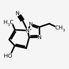 CCC1=N[N+]2(C#N)C(C)=CC(O)=CC2=N1